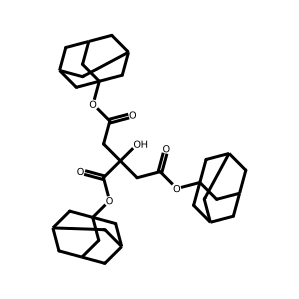 O=C(CC(O)(CC(=O)OC12CC3CC(CC(C3)C1)C2)C(=O)OC12CC3CC(CC(C3)C1)C2)OC12CC3CC(CC(C3)C1)C2